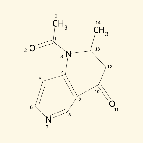 CC(=O)N1c2ccncc2C(=O)CC1C